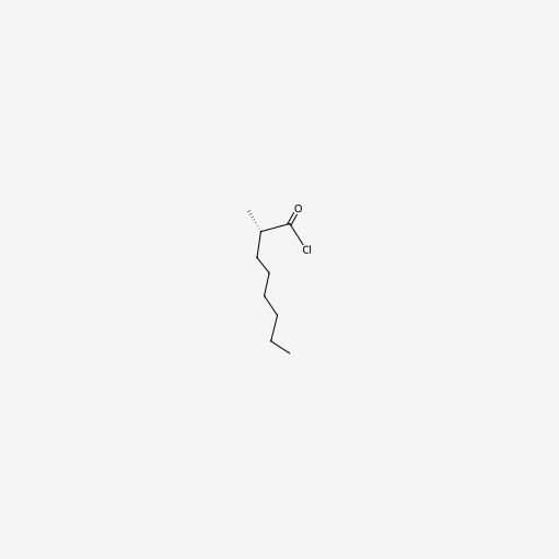 CCCCCC[C@H](C)C(=O)Cl